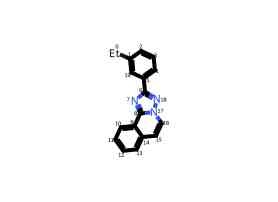 CCc1cccc(-c2nc3c4ccccc4ccn3n2)c1